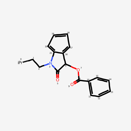 CC(C)CCN1C(=O)C(OC(=O)c2ccccc2)c2ccccc21